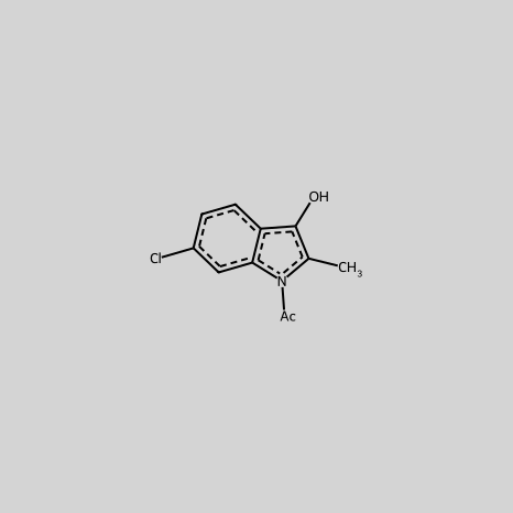 CC(=O)n1c(C)c(O)c2ccc(Cl)cc21